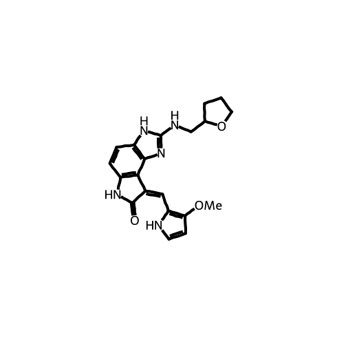 COc1cc[nH]c1/C=C1\C(=O)Nc2ccc3[nH]c(NCC4CCCO4)nc3c21